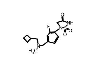 CN(Cc1ccc(N2CC(=O)NS2(=O)=O)c(F)c1)CC1CCC1